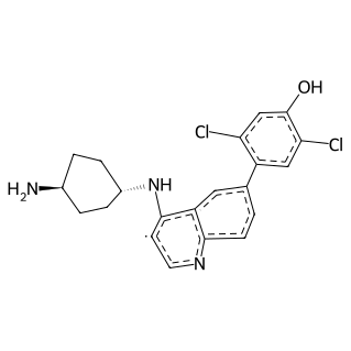 N[C@H]1CC[C@H](Nc2[c]cnc3ccc(-c4cc(Cl)c(O)cc4Cl)cc23)CC1